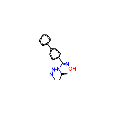 C=C(C)N(/N=N\C)/C(=N\O)c1ccc(-c2ccccc2)cc1